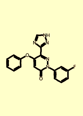 O=c1cc(Oc2ccccc2)c(-c2nc[nH]n2)nn1-c1cccc(F)c1